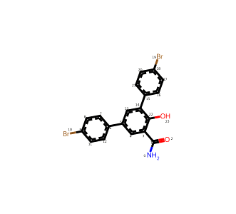 NC(=O)c1cc(-c2ccc(Br)cc2)cc(-c2ccc(Br)cc2)c1O